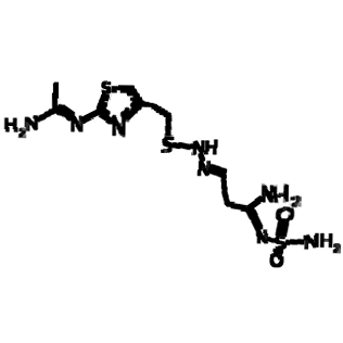 C/C(N)=N\c1nc(CSN/N=C/C/C(N)=N/S(N)(=O)=O)cs1